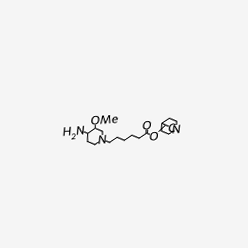 COC1CN(CCCCCC(=O)OC2CN3CCC2CC3)CCC1N